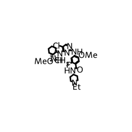 CCN1CCC(NC(=O)c2cc(OC)c(Nc3ncc(Cl)c(N[C@@H]4CCCC[C@H]4N(C)OC)n3)cc2F)CC1